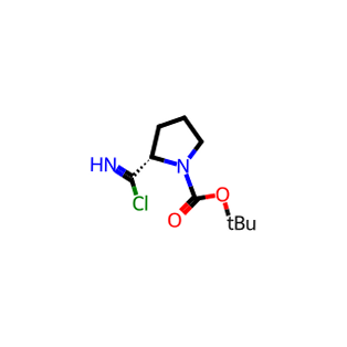 CC(C)(C)OC(=O)N1CCC[C@H]1C(=N)Cl